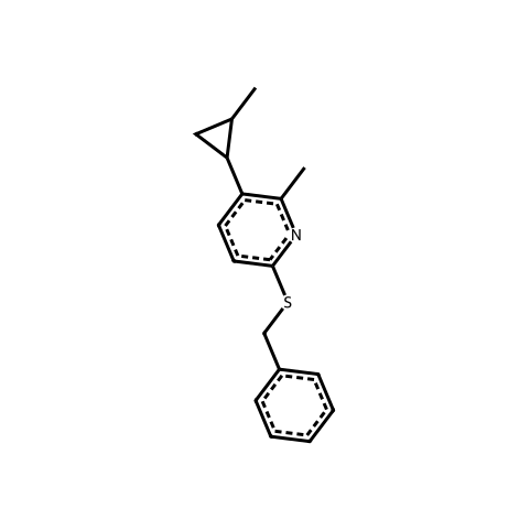 Cc1nc(SCc2ccccc2)ccc1C1CC1C